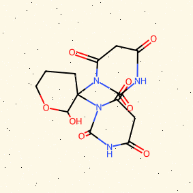 O=C1CC(=O)N(C2(N3C(=O)CC(=O)NC3=O)CCCOC2O)C(=O)N1